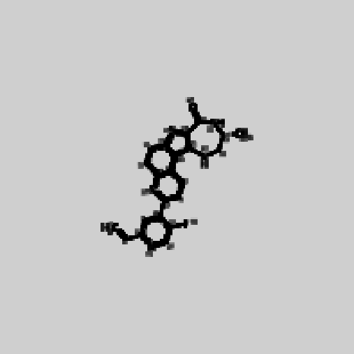 C=Cc1cc(-c2ccc3c(ccc4sc5c(c43)NC[C@@H](C)NC5=O)n2)c(F)cn1